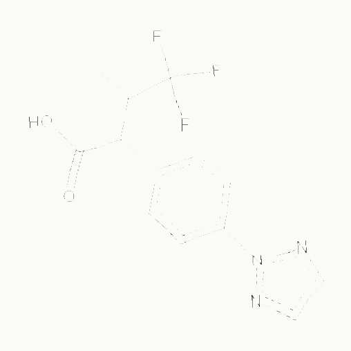 CC(C(C(=O)O)c1ccc(-n2nccn2)cc1)C(F)(F)F